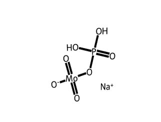 O=P(O)(O)[O][Mo](=[O])(=[O])[O-].[Na+]